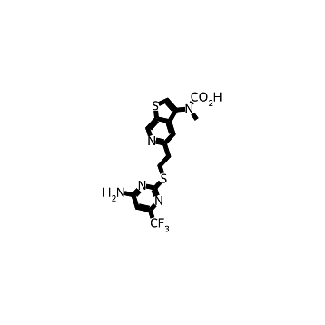 CN(C(=O)O)c1csc2cnc(CCSc3nc(N)cc(C(F)(F)F)n3)cc12